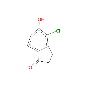 O=C1CCc2c1ccc(O)c2Cl